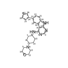 c1nc(NC2CCC(N3CCOCC3)CC2)c2c(n1)[nH]c1ccc(-c3ccsc3)cc12